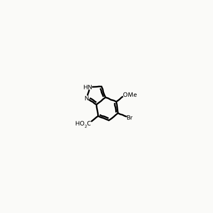 COc1c(Br)cc(C(=O)O)c2n[nH]cc12